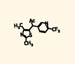 CC(=O)C(c1ccc(C(F)(F)F)nc1)c1sc(C)nc1C